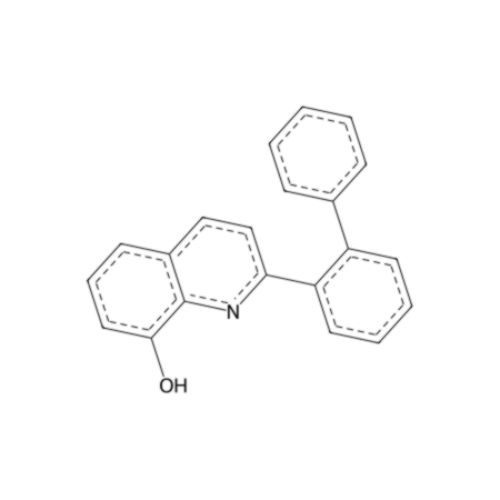 Oc1cccc2ccc(-c3ccccc3-c3ccccc3)nc12